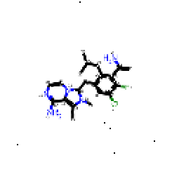 C=C(N)c1c(F)c(Cl)cc(CC2N(C)C(C)=C3C(N)=NC=CN32)c1CC(C)C